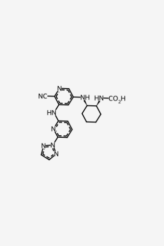 N#Cc1ncc(N[C@@H]2CCCC[C@@H]2NC(=O)O)cc1Nc1cccc(-n2nccn2)n1